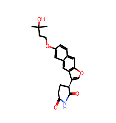 CC(C)(O)CCOc1ccc2cc3occ([C@@H]4CCC(=O)NC4=O)c3cc2c1